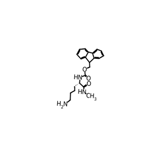 CNC(=O)[C@H](CCCCN)NC(=O)OCC1c2ccccc2-c2ccccc21